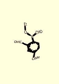 CCON(C=O)c1ccc(OC)cc1C=O